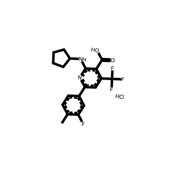 Cc1ccc(-c2cc(C(F)(F)F)c(C(=O)O)c(NC3CCCC3)n2)cc1F.Cl